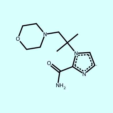 CC(C)(CN1CCOCC1)n1c[c]nc1C(N)=O